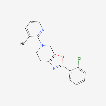 N#Cc1cccnc1N1CCc2nc(-c3ccccc3Cl)oc2C1